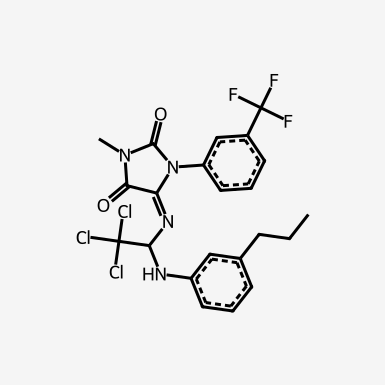 CCCc1cccc(NC(N=C2C(=O)N(C)C(=O)N2c2cccc(C(F)(F)F)c2)C(Cl)(Cl)Cl)c1